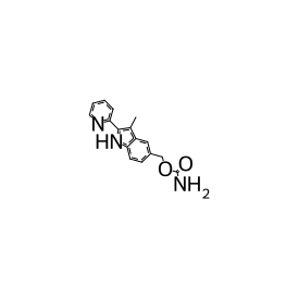 Cc1c(-c2ccccn2)[nH]c2ccc(COC(N)=O)cc12